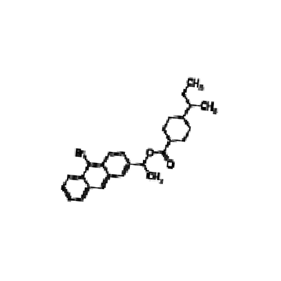 CCC(C)C1CCC(C(=O)OC(C)c2ccc3c(Br)c4ccccc4cc3c2)CC1